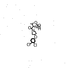 CC(C)C(NC(=O)O)C(=O)N1CCC(Oc2ccc(Cl)c(Cl)c2)CC1